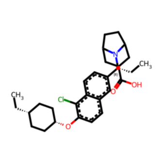 CC[C@H](c1ccc2c(Cl)c(O[C@H]3CC[C@@H](CC)CC3)ccc2c1)N1C2CCC1CC(C(=O)O)C2